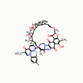 CO[C@H]1/C=C/O[C@@]2(C)Oc3c(C)c(O)c4c(c3C2=O)C(=O)C(N2CCN(c3nc5c(cc3F)c(=O)c(C(=O)O)cn5-c3ccc(F)cc3F)CC2)=C(NC(=O)/C(C)=C\C=C\[C@H](C)[C@H](O)[C@@H](C)[C@@H](O)[C@@H](C)[C@H](OC(C)=O)[C@@H]1C)C4=O